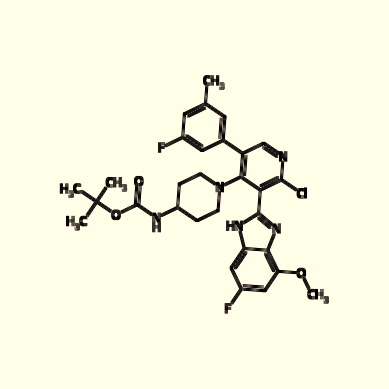 COc1cc(F)cc2[nH]c(-c3c(Cl)ncc(-c4cc(C)cc(F)c4)c3N3CCC(NC(=O)OC(C)(C)C)CC3)nc12